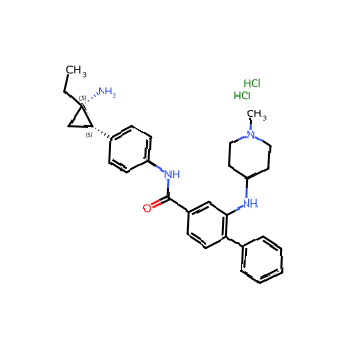 CC[C@]1(N)C[C@H]1c1ccc(NC(=O)c2ccc(-c3ccccc3)c(NC3CCN(C)CC3)c2)cc1.Cl.Cl